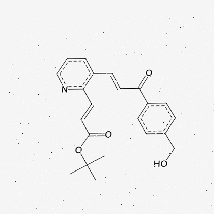 CC(C)(C)OC(=O)C=Cc1ncccc1C=CC(=O)c1ccc(CO)cc1